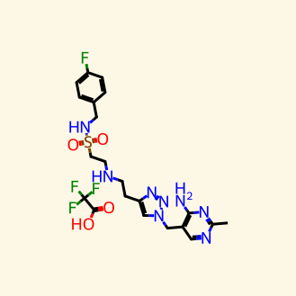 Cc1ncc(Cn2cc(CCNCCS(=O)(=O)NCc3ccc(F)cc3)nn2)c(N)n1.O=C(O)C(F)(F)F